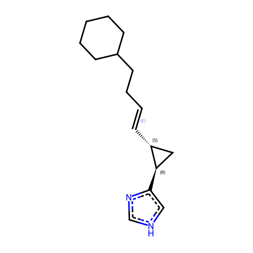 C(=C\[C@@H]1C[C@H]1c1c[nH]cn1)/CCC1CCCCC1